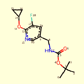 CC(C)(C)OC(=O)NCc1cnc(OC2CC2)c(F)c1